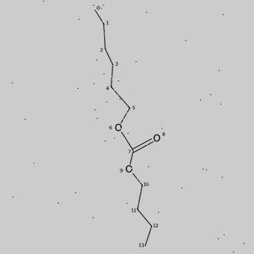 CCCCCCOC(=O)OCCCC